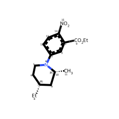 CCOC(=O)c1cc(N2CC[C@@H](CC)C[C@H]2C)ccc1[N+](=O)[O-]